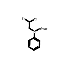 CCCCCN(CC(Cl)CC)c1ccccc1